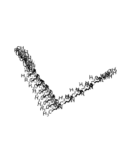 CCCCc1nccn1C.CCCCc1nccn1C.CCCCc1nccn1C.CCCCc1nccn1C.CCCCc1nccn1C.CCCCc1nccn1C.CCCCc1nccn1C.CCCCc1nccn1C.CCCCc1nccn1C.CCCCc1nccn1C.CCCCc1nccn1C.CCCCc1nccn1C.O=P(O)(O)F.O=P(O)(O)F.O=P(O)(O)F.O=P(O)(O)F.O=P(O)(O)F.O=P(O)(O)F